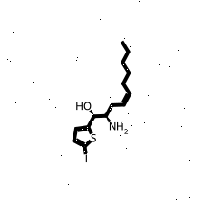 CCCCC/C=C\C[C@@H](N)[C@H](O)c1ccc(I)s1